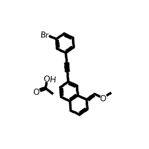 CC(=O)O.COC=C1C=CCc2ccc(C#Cc3cccc(Br)c3)cc21